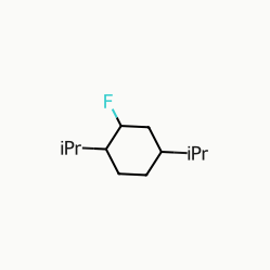 CC(C)C1CCC(C(C)C)C(F)C1